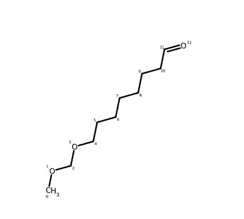 COCOCCCCCCCC=O